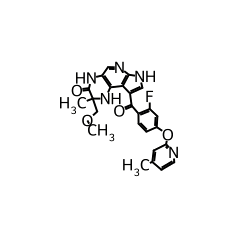 COCC1(C)Nc2c(cnc3[nH]cc(C(=O)c4ccc(Oc5cc(C)ccn5)cc4F)c23)NC1=O